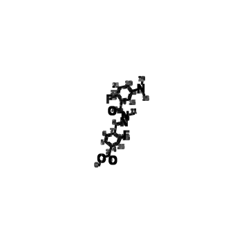 COC(=O)c1ccc(/C=N/N(C)C(=O)c2cc(N(C)C)ccc2F)c(F)c1